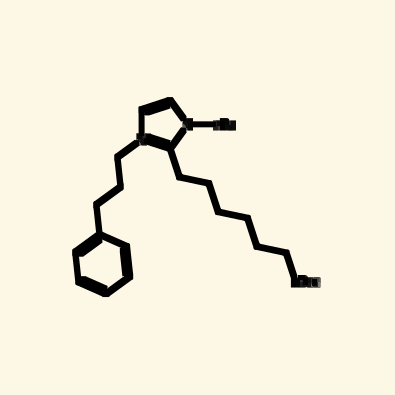 CCCCCCCCCCCCCCCCc1n(CCCC)cc[n+]1CCCc1ccccc1